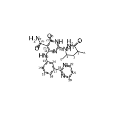 CC(CC(C)C(N)=O)Nc1nc(Nc2cccc(-c3ncccn3)c2)c(C(N)=O)c(=O)[nH]1